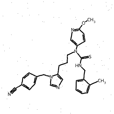 COc1ccc(N(CCCc2cncn2Cc2ccc(C#N)cc2)C(=S)NCc2ccccc2C)cn1